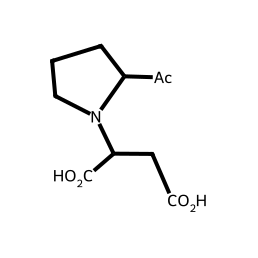 CC(=O)C1CCCN1C(CC(=O)O)C(=O)O